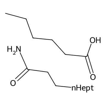 CCCCCC(=O)O.CCCCCCCCCC(N)=O